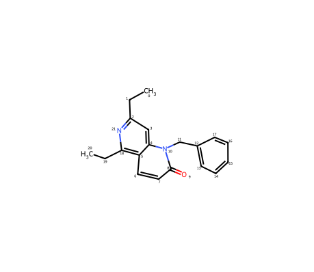 CCc1cc2c(ccc(=O)n2Cc2cc[c]cc2)c(CC)n1